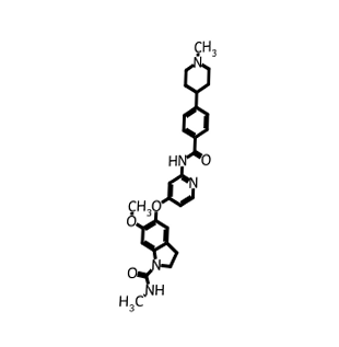 CNC(=O)N1CCc2cc(Oc3ccnc(NC(=O)c4ccc(C5CCN(C)CC5)cc4)c3)c(OC)cc21